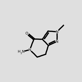 Cn1cc2c(n1)CCN(N)C2=O